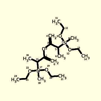 C=C(OC(=C)C(C)[Si](C)(OCC)OCC)C(C)[Si](C)(OCC)OCC